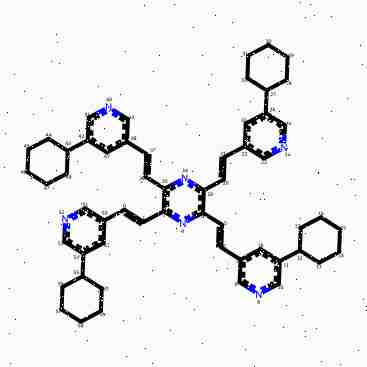 C(=Cc1nc(C=Cc2cncc(C3CCCCC3)c2)c(C=Cc2cncc(C3CCCCC3)c2)nc1C=Cc1cncc(C2CCCCC2)c1)c1cncc(C2CCCCC2)c1